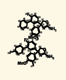 COc1ccc(C2(c3ccc(F)c(-c4ccc(F)nc4)c3)COC(N)=N2)cc1C.COc1ccc(C2(c3ccc(F)c(-c4cccnc4)c3)COC(N)=N2)cc1C